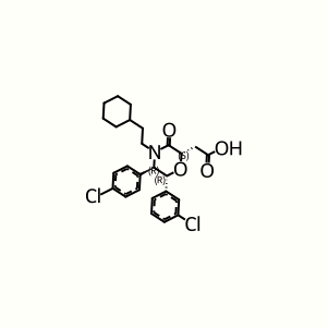 O=C(O)C[C@@H]1O[C@H](c2cccc(Cl)c2)[C@@H](c2ccc(Cl)cc2)N(CCC2CCCCC2)C1=O